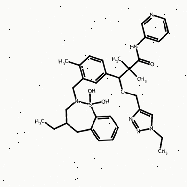 CCC1Cc2ccccc2S(O)(O)N(Cc2cc(C(OCc3cn(CC)nn3)C(C)(C)C(=O)Nc3cccnc3)ccc2C)C1